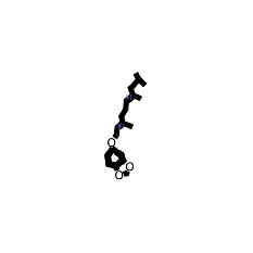 C/C(=C\COc1ccc2c(c1)OCO2)CC/C=C(\C)CC(C)C